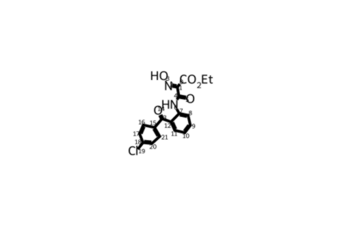 CCOC(=O)C(=NO)C(=O)Nc1ccccc1C(=O)c1ccc(Cl)cc1